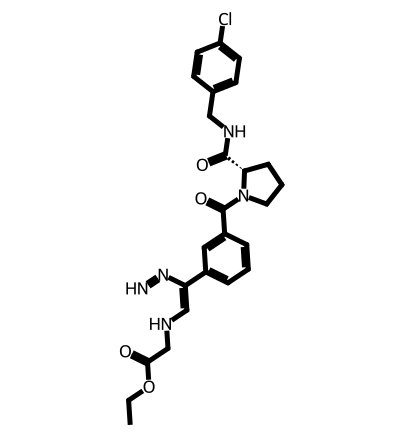 CCOC(=O)CN/C=C(\N=N)c1cccc(C(=O)N2CCC[C@H]2C(=O)NCc2ccc(Cl)cc2)c1